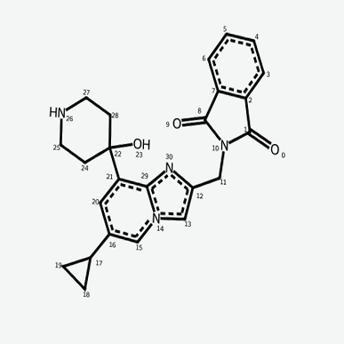 O=C1c2ccccc2C(=O)N1Cc1cn2cc(C3CC3)cc(C3(O)CCNCC3)c2n1